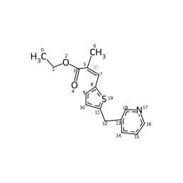 CCOC(=O)/C(C)=C\c1ccc(Cc2cccnc2)s1